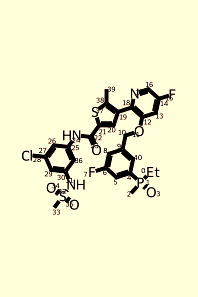 CCP(C)(=O)c1cc(F)cc(COc2cc(F)cnc2-c2cc(C(=O)Nc3cc(Cl)cc(NS(C)(=O)=O)c3)sc2C)c1